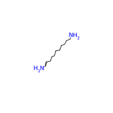 NC=CCCCCCCCCCN